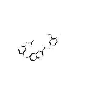 CC(=O)Nc1cc(Oc2ccc3ncc(C(=O)Nc4ccc(Cl)c(CF)c4)cc3c2)ccn1